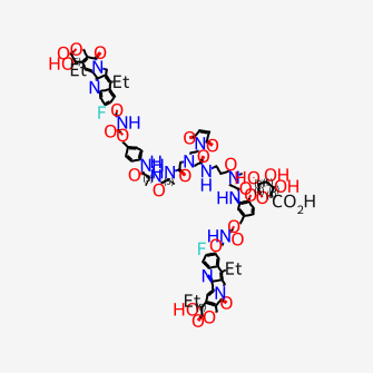 CCc1c2c(nc3cc(F)c(OCNC(=O)OCc4ccc(NC(=O)[C@H](C)NC(=O)[C@H](C)NC(=O)CN(CCN5C(=O)C=CC5=O)CC(=O)NCCC(=O)N(C)CC(=O)Nc5cc(COC(=O)NCOc6cc7c(CC)c8c(nc7cc6F)-c6cc7c(c(=O)n6C8)COC(=O)[C@]7(O)CC)ccc5O[C@@H]5O[C@H](C(=O)O)[C@@H](O)[C@H](O)[C@H]5O)cc4)cc13)-c1cc3c(c(=O)n1C2)COC(=O)[C@]3(O)CC